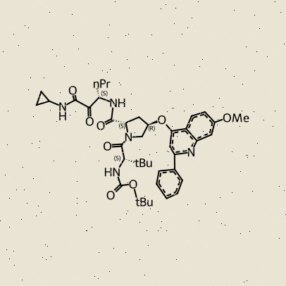 CCC[C@H](NC(=O)[C@@H]1C[C@@H](Oc2cc(-c3ccccc3)nc3cc(OC)ccc23)CN1C(=O)[C@@H](NC(=O)OC(C)(C)C)C(C)(C)C)C(=O)C(=O)NC1CC1